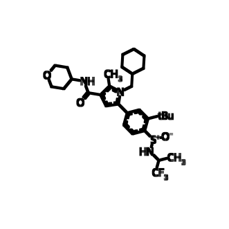 Cc1c(C(=O)NC2CCOCC2)cc(-c2ccc([S+]([O-])NC(C)C(F)(F)F)c(C(C)(C)C)c2)n1CC1CCCCC1